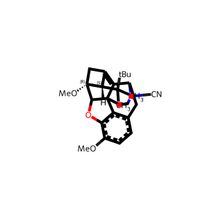 COc1ccc2c3c1OC1C34CCN(C#N)C(C2)C4=C2C[C@@]1(OC)[C@H]2C(C)(C)C(C)(C)C